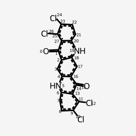 O=c1c2cc3[nH]c4ccc(Cl)c(Cl)c4c(=O)c3cc2[nH]c2ccc(Cl)c(Cl)c12